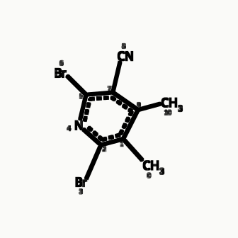 Cc1c(Br)nc(Br)c(C#N)c1C